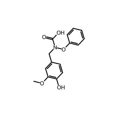 COc1cc(CN(Oc2ccccc2)C(=O)O)ccc1O